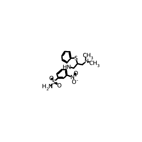 CN(C)CC(CNc1ccc(S(N)(=O)=O)cc1[N+](=O)[O-])Sc1ccccc1